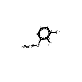 CCCCCOc1cccc(F)c1F